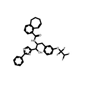 O=C(NC(Cc1cccc(OC(F)(F)C(F)F)c1)C(O)c1csc(-c2ccccc2)n1)c1cccc2c1C=CCCC2